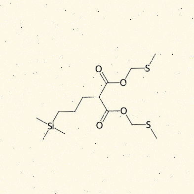 CSCOC(=O)C(CCC[Si](C)(C)C)C(=O)OCSC